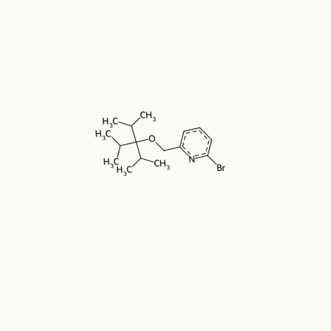 CC(C)C(OCc1cccc(Br)n1)(C(C)C)C(C)C